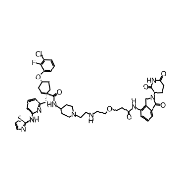 O=C1CCC(N2Cc3c(NC(=O)CCOCCNCCN4CCC(NC(=O)[C@]5(Cc6cccc(Nc7nccs7)n6)CC[C@@H](Oc6cccc(Cl)c6F)CC5)CC4)cccc3C2=O)C(=O)N1